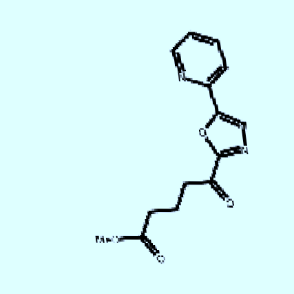 COC(=O)CCCC(=O)c1ncc(-c2ccccn2)o1